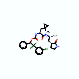 CC1(C[C@H](NC(=O)OC(c2ccccc2)C(F)(F)c2cccc(Cl)c2)C(=O)N[C@H](C=O)C[C@@H]2CCNC2=O)CC1